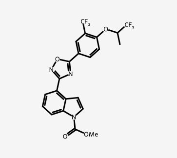 COC(=O)n1ccc2c(-c3noc(-c4ccc(OC(C)C(F)(F)F)c(C(F)(F)F)c4)n3)cccc21